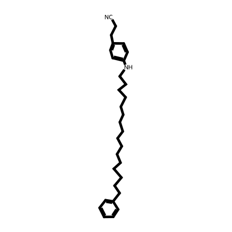 N#CCCc1ccc(NCCCCCCCCCCCCCCCCc2ccccc2)cc1